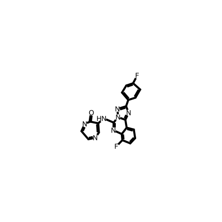 O=c1nccncc1Nc1nc2c(F)cccc2c2nc(-c3ccc(F)cc3)nn12